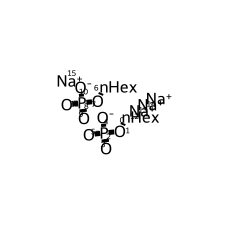 CCCCCCOP(=O)([O-])[O-].CCCCCCOP(=O)([O-])[O-].[Na+].[Na+].[Na+].[Na+]